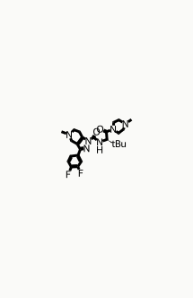 CN1CCN(C(=O)[C@@H](NC(=O)n2nc(-c3ccc(F)c(F)c3)c3c2CCN(C)C3)C(C)(C)C)CC1